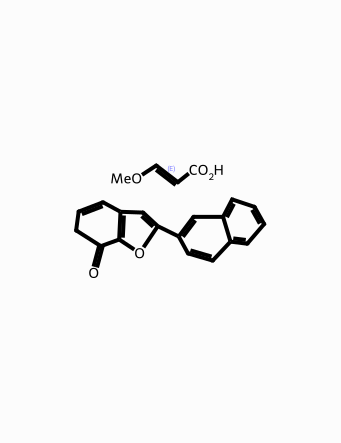 CO/C=C/C(=O)O.O=C1CC=Cc2cc(-c3ccc4ccccc4c3)oc21